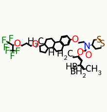 BBC(=C/C)/C=C(\C=C)OC(=O)N(CCOc1ccc2c(c1)CC[C@@H]1C2CC[C@@]2(C)C1CC[C@@H]2OCCCOC(C(F)(F)F)C(F)(F)F)[C@H]1CCSSC1